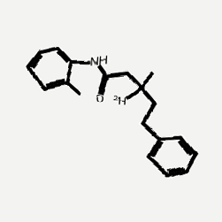 [2H]C(C)(CCc1ccccc1)CC(=O)Nc1ccccc1C